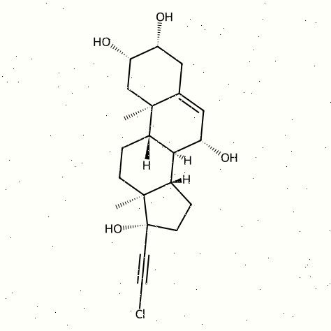 C[C@]12C[C@H](O)[C@H](O)CC1=C[C@H](O)[C@@H]1[C@@H]2CC[C@@]2(C)[C@H]1CC[C@@]2(O)C#CCl